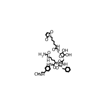 NC(=O)NCCCC(NC(=O)[C@@H](Cc1ccccc1)NC(=O)C[C@@H]1O[C@H](CNC(=O)CCCCCN2C(=O)C=CC2=O)C(O)C1O)C(=O)Nc1ccc(CCNCl)cc1